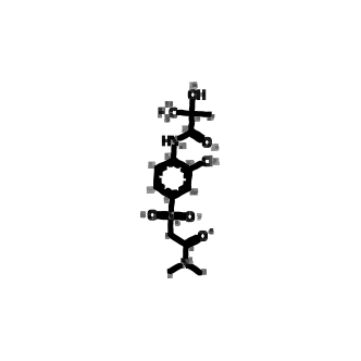 CN(C)C(=O)CS(=O)(=O)c1ccc(NC(=O)C(C)(O)C(F)(F)F)c(Cl)c1